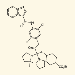 CCOC(=O)C1CCC(OC(C(=O)Cc2cc(Cl)c(NC(=O)c3coc4ccccc34)cc2F)(N2CCCC2)N2CCCC2(C)C)CC1